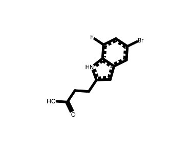 O=C(O)CCc1cc2cc(Br)cc(F)c2[nH]1